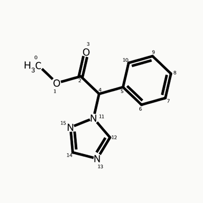 COC(=O)C(c1ccccc1)n1cncn1